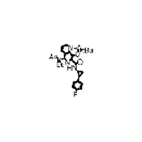 CCN(C(C)=O)c1nc(C(=O)NC2CC2c2ccc(F)cc2)c(O[Si](C)(C)C(C)(C)C)c2ncccc12